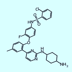 Cc1ccc(Oc2ccc(NS(=O)(=O)c3ccccc3Cl)cc2F)c(-c2ccnc(NC3CCC(N)CC3)n2)c1